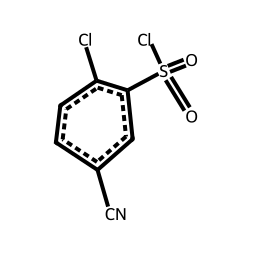 N#Cc1ccc(Cl)c(S(=O)(=O)Cl)c1